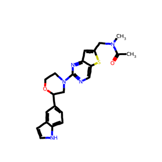 CC(=O)N(C)Cc1cc2nc(N3CCOC(c4ccc5[nH]ccc5c4)C3)ncc2s1